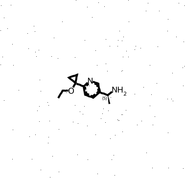 CCOC1(c2ccc([C@H](C)N)cn2)CC1